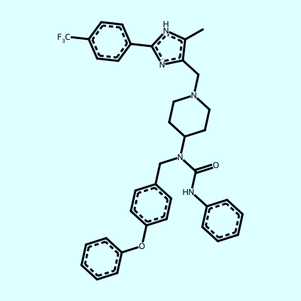 Cc1[nH]c(-c2ccc(C(F)(F)F)cc2)nc1CN1CCC(N(Cc2ccc(Oc3ccccc3)cc2)C(=O)Nc2ccccc2)CC1